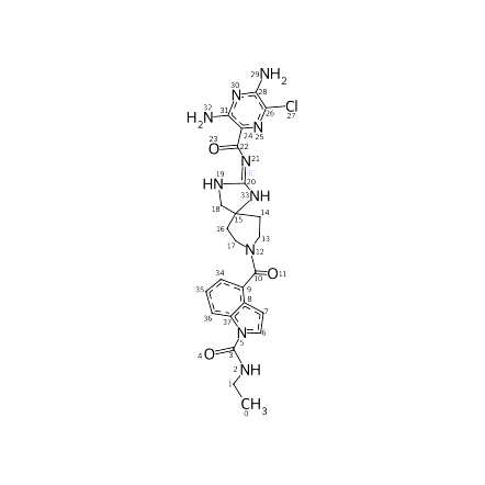 CCNC(=O)n1ccc2c(C(=O)N3CCC4(CC3)CN/C(=N\C(=O)c3nc(Cl)c(N)nc3N)N4)cccc21